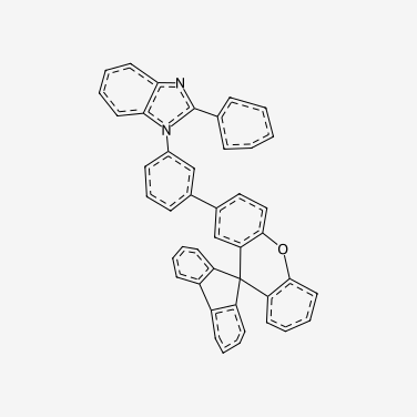 c1ccc(-c2nc3ccccc3n2-c2cccc(-c3ccc4c(c3)C3(c5ccccc5O4)c4ccccc4-c4ccccc43)c2)cc1